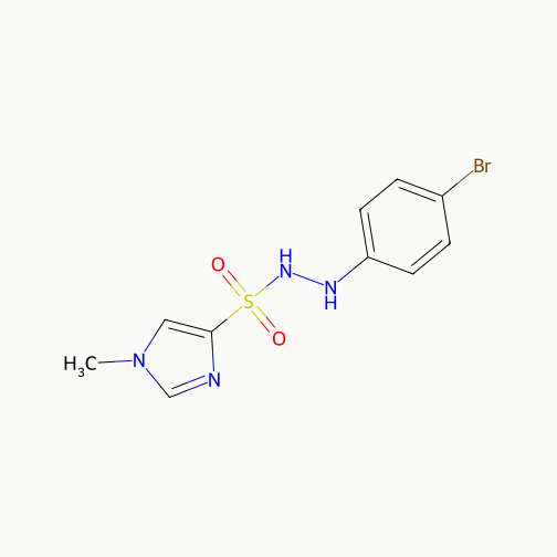 Cn1cnc(S(=O)(=O)NNc2ccc(Br)cc2)c1